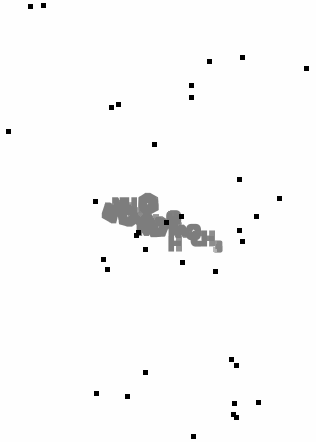 COCCNC(=O)c1ccc2nc(-c3ccc(C4(N)CCC4)cc3)c(-c3ccccc3)n2c1